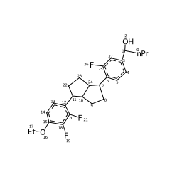 CCCC(O)c1ccc(C2CCC3C(c4ccc(OCC)c(F)c4F)CCC23)c(F)c1